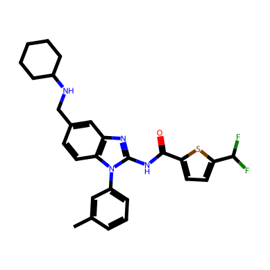 Cc1cccc(-n2c(NC(=O)c3ccc(C(F)F)s3)nc3cc(CNC4CCCCC4)ccc32)c1